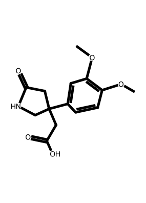 COc1ccc(C2(CC(=O)O)CNC(=O)C2)cc1OC